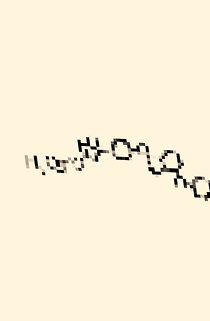 COCOc1cc(-c2ccc(OC3C=Cc4c(OC5=CC=CCC5)cccc43)cc2)on1